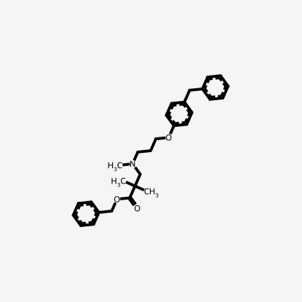 CN(CCCOc1ccc(Cc2ccccc2)cc1)CC(C)(C)C(=O)OCc1ccccc1